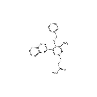 COC(=O)CCc1cc(-c2ccc3ccccc3c2)c(OCc2ccccc2)c([N+](=O)[O-])c1